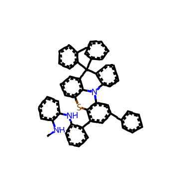 CNc1ccccc1Nc1ccccc1-c1cc(-c2ccccc2)cc2c1Sc1cccc3c1N2c1ccccc1C3(c1ccccc1)c1ccccc1C